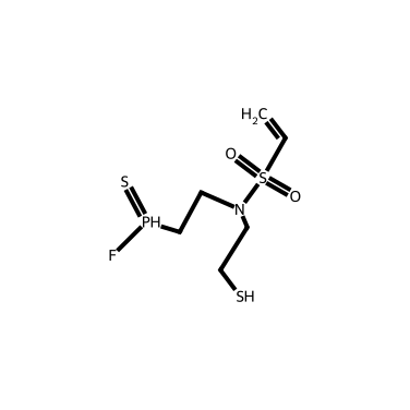 C=CS(=O)(=O)N(CCS)CC[PH](F)=S